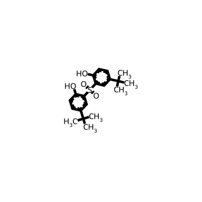 CC(C)(C)c1ccc(O)c(S(=O)(=O)c2cc(C(C)(C)C)ccc2O)c1